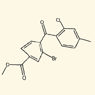 COC(=O)c1ccc(C(=O)c2ccc(C)cc2Cl)c(Br)c1